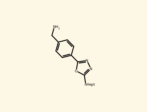 CCCCCCCc1nnc(-c2ccc(CN)cc2)o1